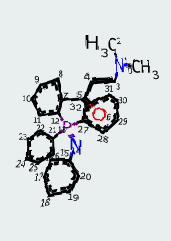 CN(C)/C=C/C(=O)c1ccccc1P(=Nc1ccccc1)(c1ccccc1)c1ccccc1